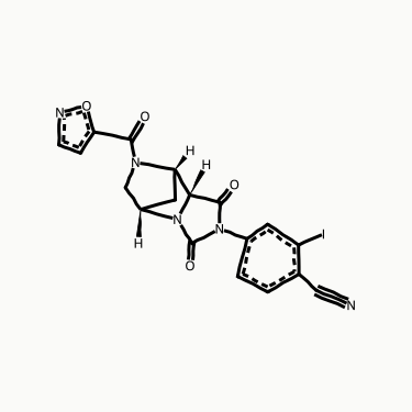 N#Cc1ccc(N2C(=O)[C@H]3[C@@H]4C[C@@H](CN4C(=O)c4ccno4)N3C2=O)cc1I